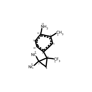 Cc1cc(C2(C(F)(F)F)CC2(C#N)C#N)ccc1N